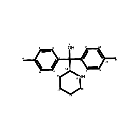 Cc1ccc(C(O)(c2ccc(C)cc2)[C@@H]2CCCCN2)cc1